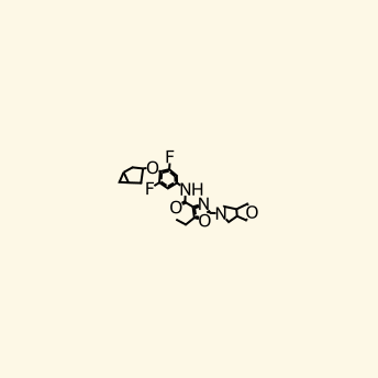 CCc1oc(N2CC3COCC3C2)nc1C(=O)Nc1cc(F)c(OC2CC3CC3C2)c(F)c1